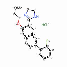 COCCOc1cc2ccc(-c3ccccc3F)cc2cc1C1=NCCN1.Cl